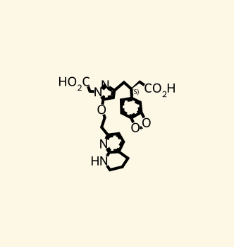 O=C(O)C[C@H](Cc1cc(OCCc2ccc3c(n2)NCCC3)n(CC(=O)O)n1)c1ccc2c(c1)OCO2